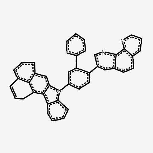 C1=Cc2cccc3cc4c(c(c23)C1)c1ccccc1n4-c1ccc(-c2cnc3c(ccc4cccnc43)c2)c(-c2ccccn2)c1